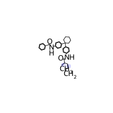 C=C/C=C\C(=C/C)C(=O)Nc1ccc(C2(c3ccc(NC(=O)c4ccccc4)cc3)CCCCC2)cc1